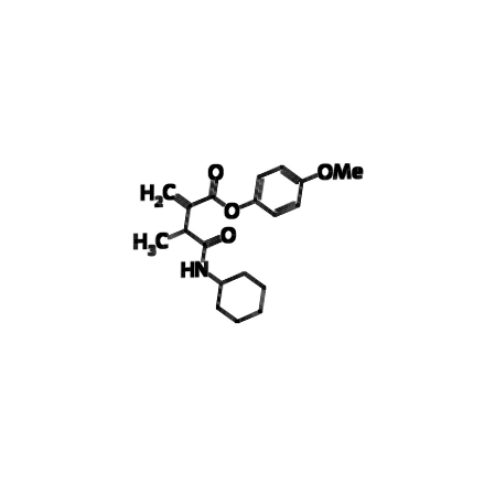 C=C(C(=O)Oc1ccc(OC)cc1)C(C)C(=O)NC1CCCCC1